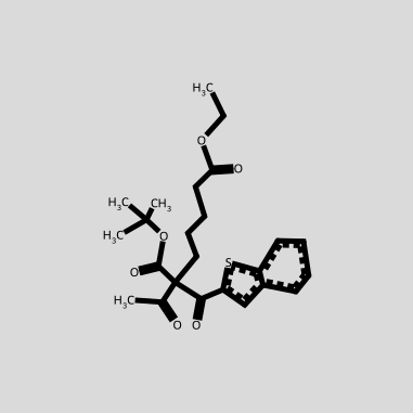 CCOC(=O)CCCCC(C(C)=O)(C(=O)OC(C)(C)C)C(=O)c1cc2ccccc2s1